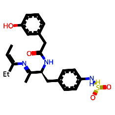 C/C=C(CC)\N=C(/C)[C@H](Cc1ccc(N[SH](=O)=O)cc1)NC(=O)Cc1cccc(O)c1